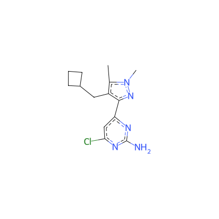 Cc1c(CC2CCC2)c(-c2cc(Cl)nc(N)n2)nn1C